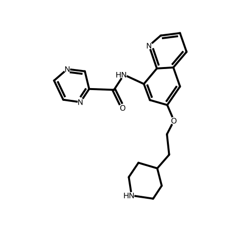 O=C(Nc1cc(OCCC2CCNCC2)cc2cccnc12)c1cnccn1